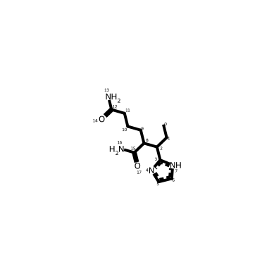 CCC(c1ncc[nH]1)C(CCCC(N)=O)C(N)=O